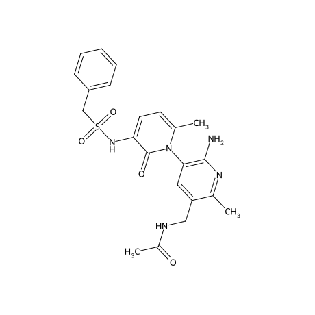 CC(=O)NCc1cc(-n2c(C)ccc(NS(=O)(=O)Cc3ccccc3)c2=O)c(N)nc1C